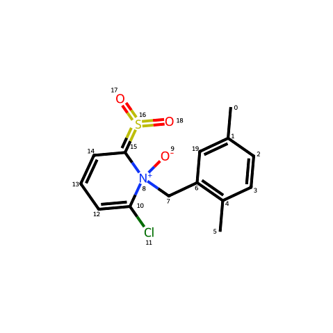 Cc1ccc(C)c(C[N+]2([O-])C(Cl)=CC=CC2=S(=O)=O)c1